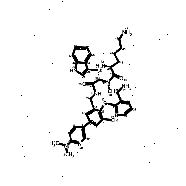 CN(C)c1ccc(-c2cc(Cl)c(Sc3ncccc3CN)c(CNC(=O)[C@H](Cc3c[nH]c4ccccc34)N(C)C(=O)[C@@H](N)CCCCN)c2)cn1